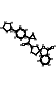 O=C1OC2(CCN(C(=O)C3(c4ccc(N5CCCC5)nc4)CC3)C2)c2ccccc21